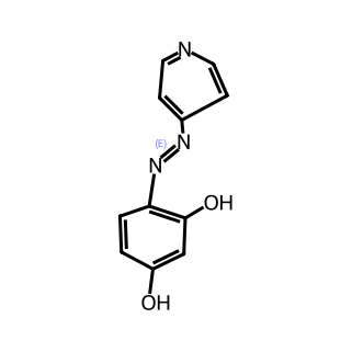 Oc1ccc(/N=N/c2ccncc2)c(O)c1